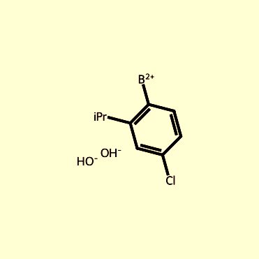 [B+2]c1ccc(Cl)cc1C(C)C.[OH-].[OH-]